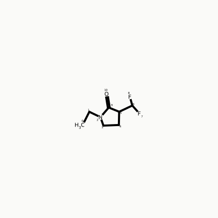 CCN1CCC(C(F)F)C1=O